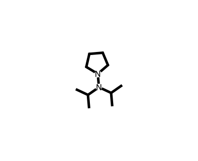 CC(C)N(C(C)C)N1CCCC1